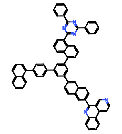 c1ccc(-c2nc(-c3ccccc3)nc(-c3cccc4c(-c5cc(-c6ccc(-c7cccc8ccccc78)cc6)cc(-c6ccc7cc(-c8nc9ccccc9c9ccncc89)ccc7c6)c5)cccc34)n2)cc1